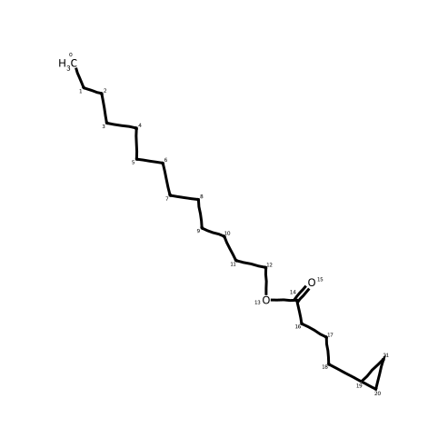 CCCCCCCCCCCCCOC(=O)CCCC1CC1